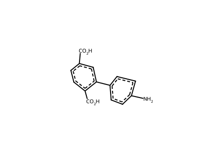 Nc1ccc(-c2cc(C(=O)O)ccc2C(=O)O)cc1